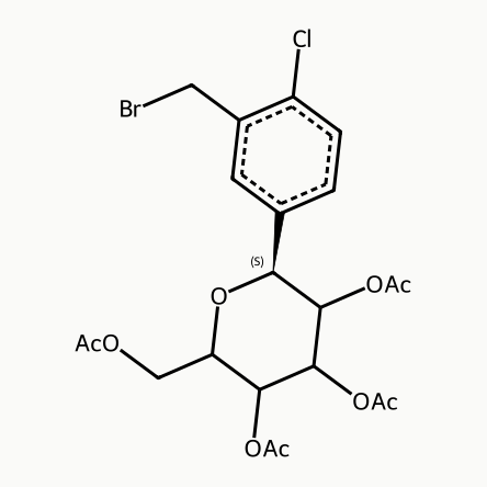 CC(=O)OCC1O[C@@H](c2ccc(Cl)c(CBr)c2)C(OC(C)=O)C(OC(C)=O)C1OC(C)=O